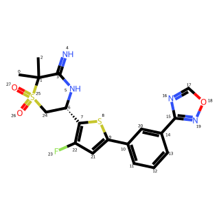 CC1(C)C(=N)N[C@H](c2sc(-c3cccc(-c4ncon4)c3)cc2F)CS1(=O)=O